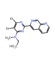 CCc1nc(-c2cc3cccnc3cn2)nc(N(C)CC(=O)O)c1CC